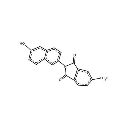 O=C(O)c1ccc2c(c1)C(=O)N(c1ccc3cc(O)ccc3c1)C2=O